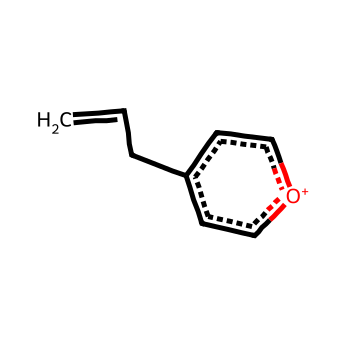 C=CCc1cc[o+]cc1